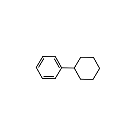 c1ccc([C]2CCCCC2)cc1